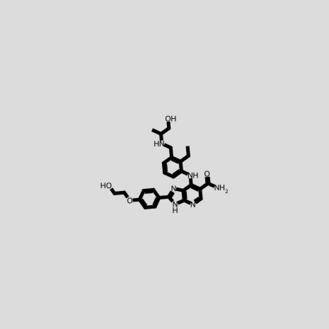 CCc1c(CNC(C)CO)cccc1Nc1c(C(N)=O)cnc2[nH]c(-c3ccc(OCCO)cc3)nc12